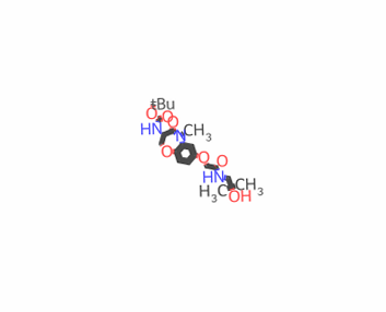 CN1C(=O)[C@@H](NC(=O)OC(C)(C)C)COc2ccc(OCC(=O)NCC(C)(C)O)cc21